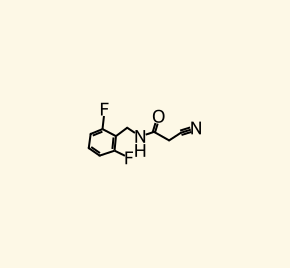 N#CCC(=O)NCc1c(F)cccc1F